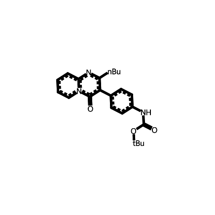 CCCCc1nc2ccccn2c(=O)c1-c1ccc(NC(=O)OC(C)(C)C)cc1